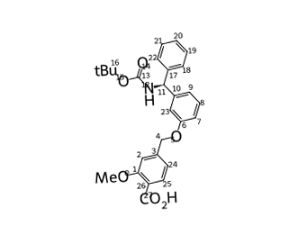 COc1cc(COc2cccc([C@@H](NC(=O)OC(C)(C)C)c3ccccc3)c2)ccc1C(=O)O